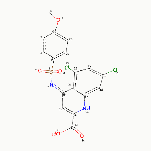 COc1ccc(S(=O)(=O)/N=c2/cc(C(=O)O)[nH]c3cc(Cl)cc(Cl)c23)cc1